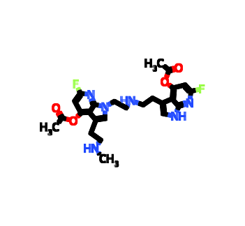 CNCCc1cn(CCNCCc2c[nH]c3nc(F)cc(OC(C)=O)c23)c2nc(F)cc(OC(C)=O)c12